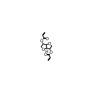 C=CC(=O)O[C@@H]1CO[C@H]2C1OC[C@H]2OC(=O)C=C